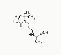 C#CC(C)NCCCN(C(=O)O)C(C)(C)C